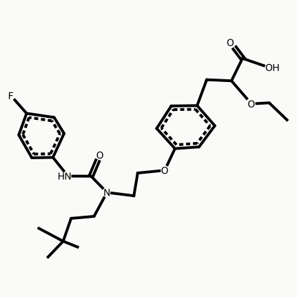 CCOC(Cc1ccc(OCCN(CCC(C)(C)C)C(=O)Nc2ccc(F)cc2)cc1)C(=O)O